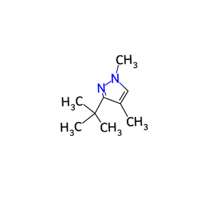 Cc1cn(C)nc1C(C)(C)C